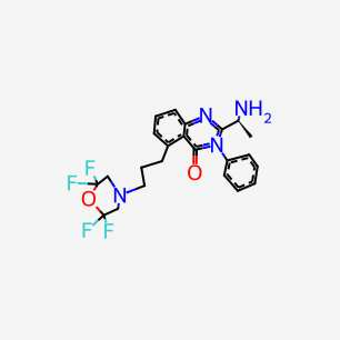 C[C@H](N)c1nc2cccc(CCCN3CC(F)(F)OC(F)(F)C3)c2c(=O)n1-c1ccccc1